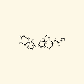 C[C@@H](C#N)C[C@H]1CCC2OC([C@H]3COC4(CCCCC4)O3)CC2(CI)O1